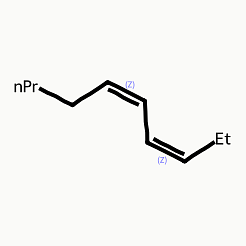 CC/C=C\C=C/CCCC